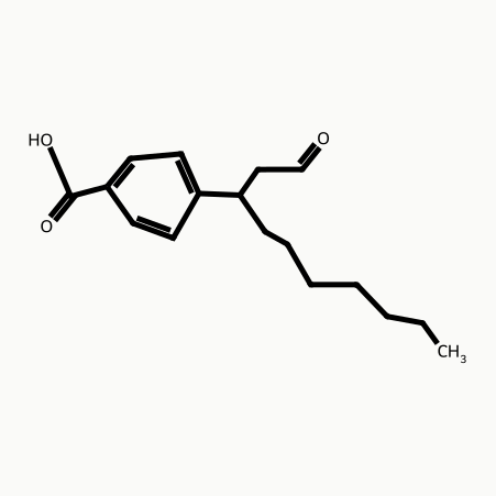 CCCCCCCC(CC=O)c1ccc(C(=O)O)cc1